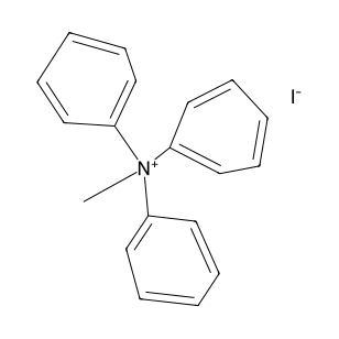 C[N+](c1ccccc1)(c1ccccc1)c1ccccc1.[I-]